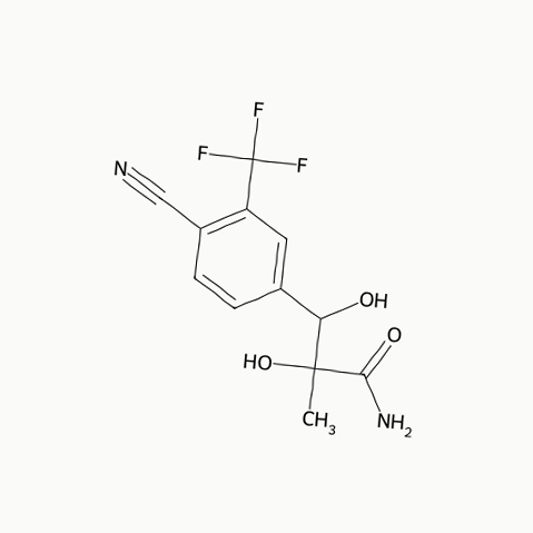 CC(O)(C(N)=O)C(O)c1ccc(C#N)c(C(F)(F)F)c1